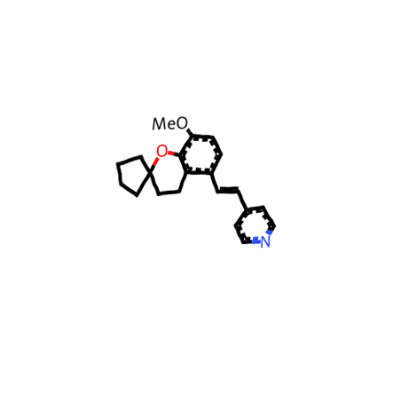 COc1ccc(C=Cc2ccncc2)c2c1OC1(CCCC1)CC2